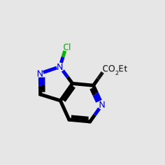 CCOC(=O)c1nccc2cnn(Cl)c12